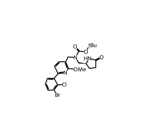 COc1nc(-c2cccc(Br)c2Cl)ccc1CN(C[C@@H]1CCC(=O)N1)C(=O)OC(C)(C)C